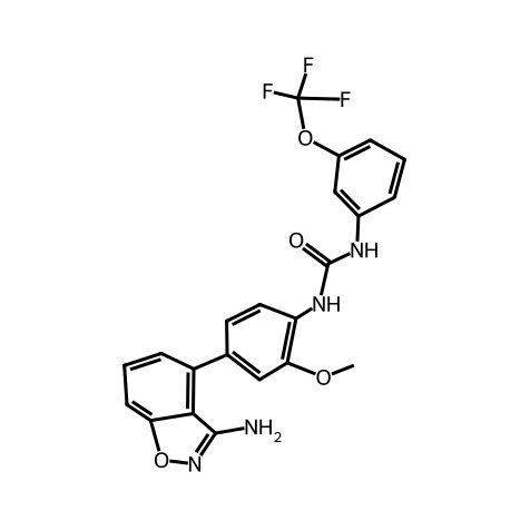 COc1cc(-c2cccc3onc(N)c23)ccc1NC(=O)Nc1cccc(OC(F)(F)F)c1